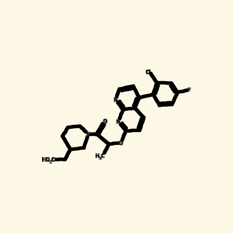 CC(Oc1ccc2c(-c3ccc(F)cc3Cl)ccnc2n1)C(=O)N1CCCC(CC(=O)O)C1